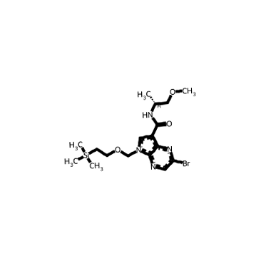 COC[C@@H](C)NC(=O)c1cn(COCC[Si](C)(C)C)c2ncc(Br)nc12